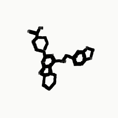 O=C(O)C1CCN(c2nc(NCc3ccc4c(c3)OCO4)c3c4c(sc3n2)CCCC4)CC1